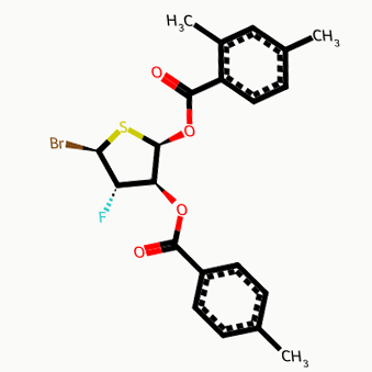 Cc1ccc(C(=O)O[C@H]2[C@H](F)[C@@H](Br)S[C@H]2OC(=O)c2ccc(C)cc2C)cc1